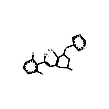 CC1CC(/C=C(\N)c2c(F)cccc2F)=C(N)C(Oc2cncnc2)C1